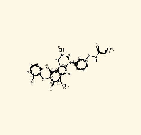 C=CC(=O)NCc1cccc(N2CC(C)Cn3c2nc2c3c(=O)n(Cc3ccccc3Cl)c(=O)n2C)c1